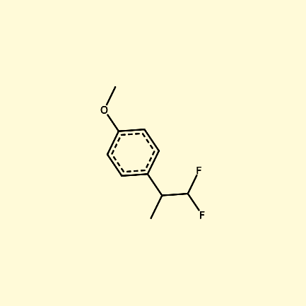 COc1ccc(C(C)C(F)F)cc1